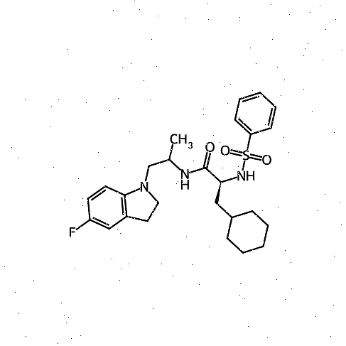 CC(CN1CCc2cc(F)ccc21)NC(=O)[C@H](CC1CCCCC1)NS(=O)(=O)c1ccccc1